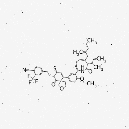 C=C/C(C)=C1C(=O)NC(c2cc(C3=CC(=S)C(CCc4ccc(C#N)c(C(F)(F)F)c4)C(=O)C34CCOC4)ccc2OCC)=C=C\C=C/1CC(=C)CCC